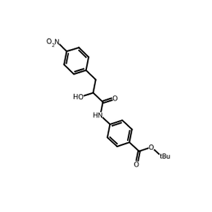 CC(C)(C)OC(=O)c1ccc(NC(=O)C(O)Cc2ccc([N+](=O)[O-])cc2)cc1